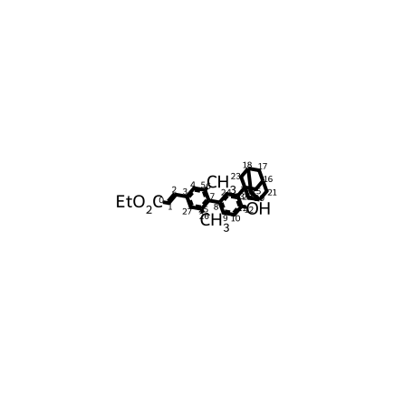 CCOC(=O)/C=C/c1cc(C)c(-c2ccc(O)c(C34CC5CC(CC(C5)C3)C4)c2)c(C)c1